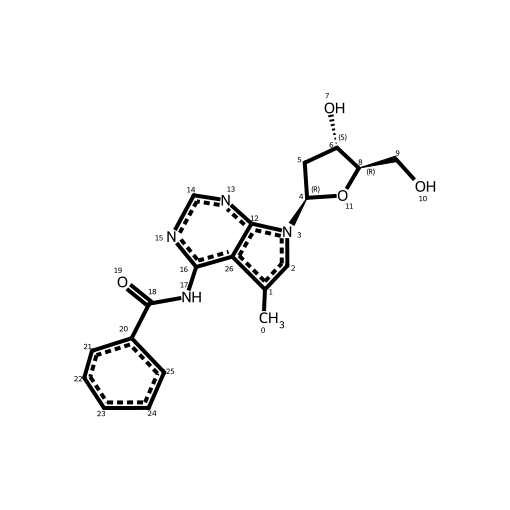 Cc1cn([C@H]2C[C@H](O)[C@@H](CO)O2)c2ncnc(NC(=O)c3ccccc3)c12